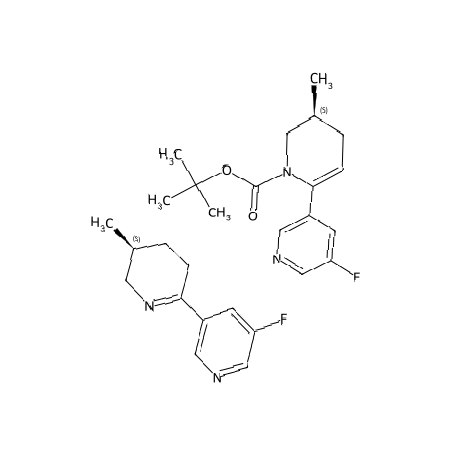 C[C@H]1CC=C(c2cncc(F)c2)N(C(=O)OC(C)(C)C)C1.C[C@H]1CCC(c2cncc(F)c2)=NC1